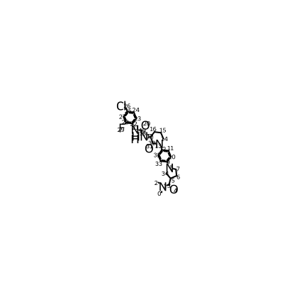 CN(C)C(=O)C1CCN(c2ccc(N3CCC[C@@H](NC(=O)Nc4ccc(Cl)cc4F)C3=O)cc2)C1